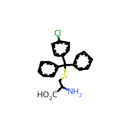 NC(CSC(c1ccccc1)(c1ccccc1)c1ccc(Cl)cc1)C(=O)O